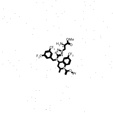 C=C(OC(C)C)N1c2ccc(C(F)(F)F)cc2C(N(Cc2cc(C(F)(F)F)cc(C(F)(F)F)c2)c2nnn(C[C@@H](N)C(=O)OC)n2)CC1C